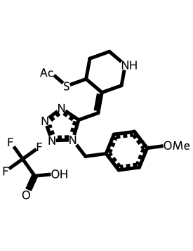 COc1ccc(Cn2nnnc2C=C2CNCCC2SC(C)=O)cc1.O=C(O)C(F)(F)F